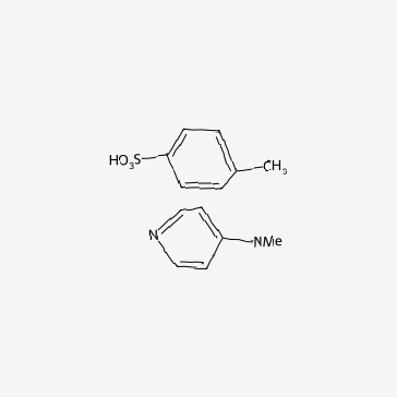 CNc1ccncc1.Cc1ccc(S(=O)(=O)O)cc1